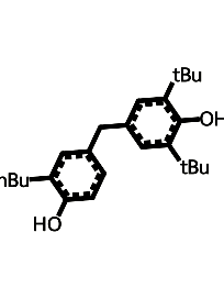 CCCCc1cc(Cc2cc(C(C)(C)C)c(O)c(C(C)(C)C)c2)ccc1O